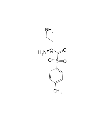 Cc1ccc(S(=O)(=O)C(=O)[C@@H](N)CCN)cc1